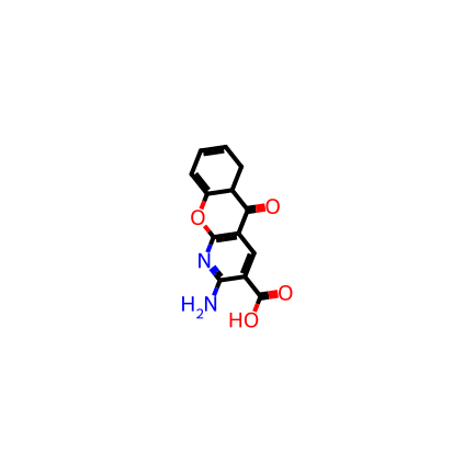 Nc1nc2c(cc1C(=O)O)C(=O)C1CC=CC=C1O2